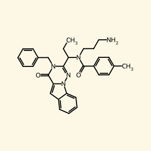 CCC(c1nn2c(cc3ccccc32)c(=O)n1Cc1ccccc1)N(CCCN)C(=O)c1ccc(C)cc1